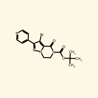 CC(C)(C)OC(=O)N1CCn2nc(-c3ccncc3)c(Br)c2C1=O